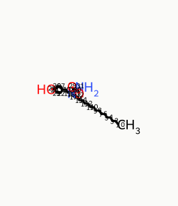 CCCCCCCCCCCCCCCCCCN(CCc1ccc(O)cc1)C(=O)C(N)=O